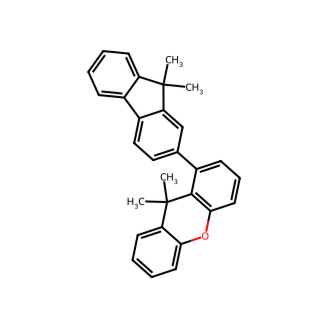 CC1(C)c2ccccc2-c2ccc(-c3cccc4c3C(C)(C)c3ccccc3O4)cc21